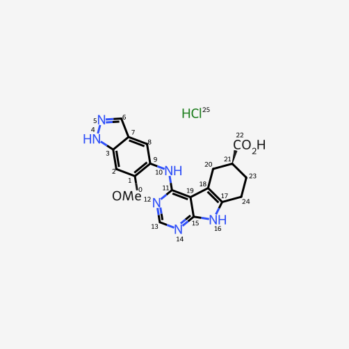 COc1cc2[nH]ncc2cc1Nc1ncnc2[nH]c3c(c12)C[C@@H](C(=O)O)CC3.Cl